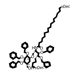 CCCCCCCCCCCCCCCCCCCCCCCCCC(=O)N[C@@H](CO[C@H]1C[C@H](CO)[C@H](OCc2ccccc2)[C@H](OCc2ccccc2)[C@H]1OCc1ccccc1)[C@H](OCc1ccccc1)[C@@H](CCCCCCCCCCCCCC)OCc1ccccc1